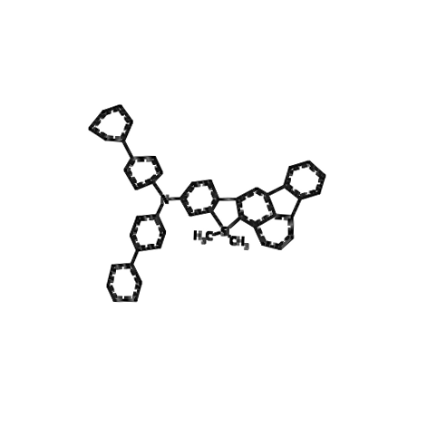 C[Si]1(C)c2cc(N(c3ccc(-c4ccccc4)cc3)c3ccc(-c4ccccc4)cc3)ccc2-c2cc3c4c(cccc4c21)-c1ccccc1-3